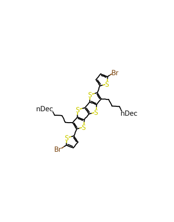 CCCCCCCCCCCCCc1c(-c2ccc(Br)s2)sc2c1sc1c3sc(-c4ccc(Br)s4)c(CCCCCCCCCCCCC)c3sc21